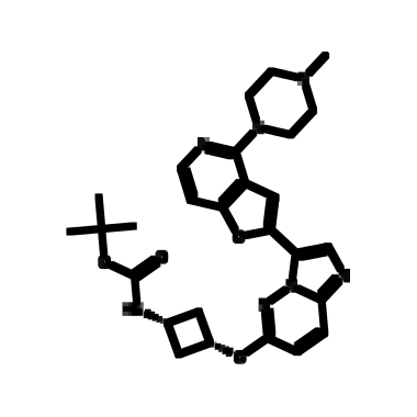 CN1CCN(c2nccc3oc(-c4cnc5ccc(O[C@H]6C[C@@H](NC(=O)OC(C)(C)C)C6)nn45)cc23)CC1